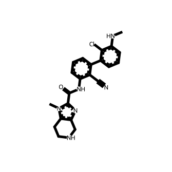 CNc1cccc(-c2cccc(NC(=O)c3nc4c(n3C)CCNC4)c2C#N)c1Cl